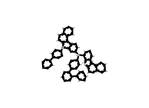 c1ccc(-c2ccc(-n3c4cc(N(c5ccc(-c6ccccc6-c6ccccc6)cc5)c5cccc6c5sc5ccc7ccccc7c56)ccc4c4c5ccccc5ccc43)cc2)cc1